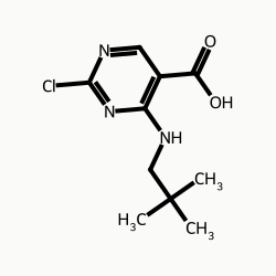 CC(C)(C)CNc1nc(Cl)ncc1C(=O)O